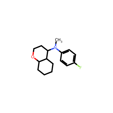 CN(c1ccc(F)cc1)C1CCOC2CCCCC21